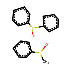 C[S+]([O-])c1ccccc1.[O-][S+](c1ccccc1)c1ccccc1